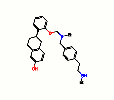 CCNCCc1ccc(CN(CC)COc2ccccc2[C@@H]2CCc3cc(O)ccc3C2)cc1